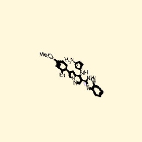 CCc1cc(OC)ccc1-c1cc2c(N[C@@H]3CC[C@H](N)C3)c(/C(N)=N/c3ccccc3Cl)cnn2c1